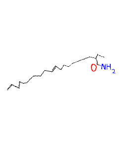 CCCCCCCCC=CCCCCCCC(CC)C(N)=O